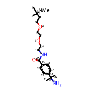 CNC(C)(C)CCOCCOCCNC(=O)c1ccc(C(C)(C)N)cc1